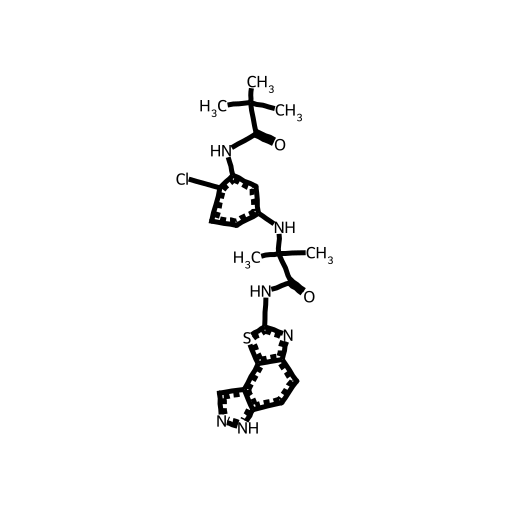 CC(C)(C)C(=O)Nc1cc(NC(C)(C)C(=O)Nc2nc3ccc4[nH]ncc4c3s2)ccc1Cl